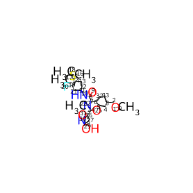 COCc1ccc(C(C(=O)Nc2ccc(S(C)(C)C)c(F)c2)N(C)C(=O)c2cc(O)no2)cc1